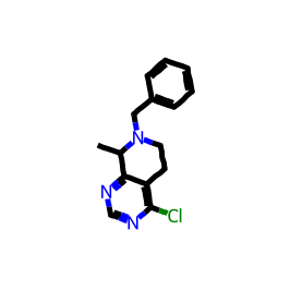 CC1c2ncnc(Cl)c2CCN1Cc1ccccc1